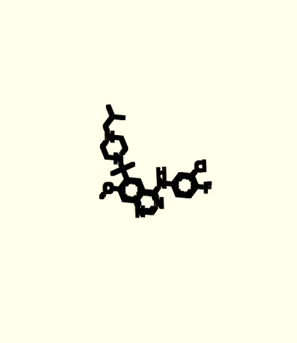 COc1cc2ncnc(Nc3ccc(F)c(Cl)c3)c2cc1C(C)(C)N1CCN(CC(C)C)CC1